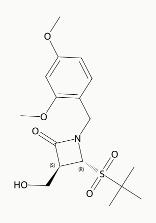 COc1ccc(CN2C(=O)[C@H](CO)[C@H]2S(=O)(=O)C(C)(C)C)c(OC)c1